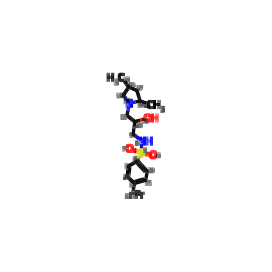 CCCc1ccc(S(=O)(=O)NCC(O)CN2CC(C)CC2C)cc1